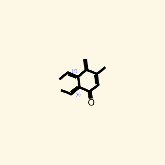 C=C1C(C)=CC(=O)C(=C/C)/C1=C\C